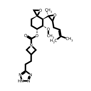 CO[C@@H]1[C@H](OC(=O)N2CC(CCc3nn[nH]n3)C2)CC[C@]2(CO2)[C@H]1[C@@]1(C)OC1CC=C(C)C